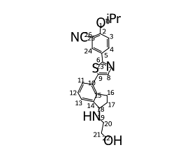 CC(C)Oc1ccc(-c2ncc(-c3cccc4c3CC[C@@H]4NCCO)s2)cc1C#N